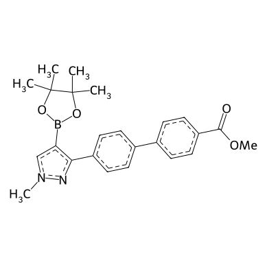 COC(=O)c1ccc(-c2ccc(-c3nn(C)cc3B3OC(C)(C)C(C)(C)O3)cc2)cc1